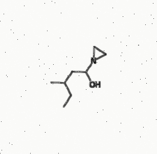 CCC(C)CC(O)N1CC1